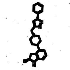 O=C1Cc2c(cccc2C2CCN(Cc3cn(-c4ccccc4)nn3)CC2)N1